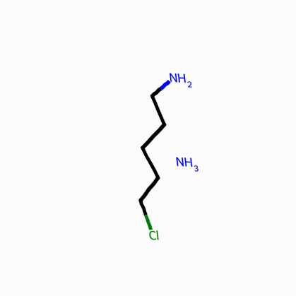 N.NCCCCCCl